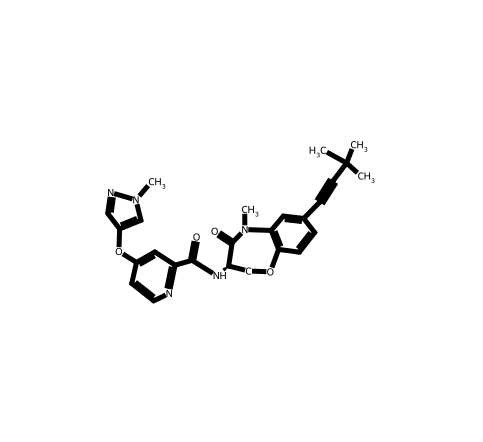 CN1C(=O)[C@@H](NC(=O)c2cc(Oc3cnn(C)c3)ccn2)COc2ccc(C#CC(C)(C)C)cc21